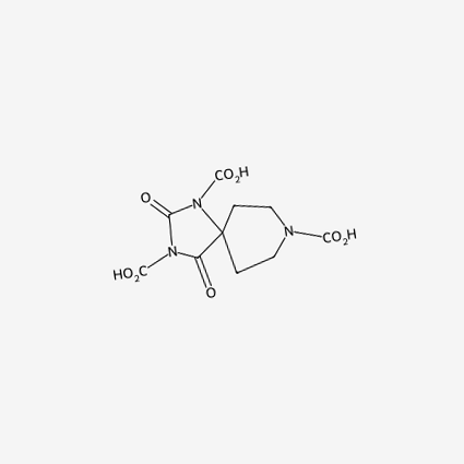 O=C(O)N1CCC2(CC1)C(=O)N(C(=O)O)C(=O)N2C(=O)O